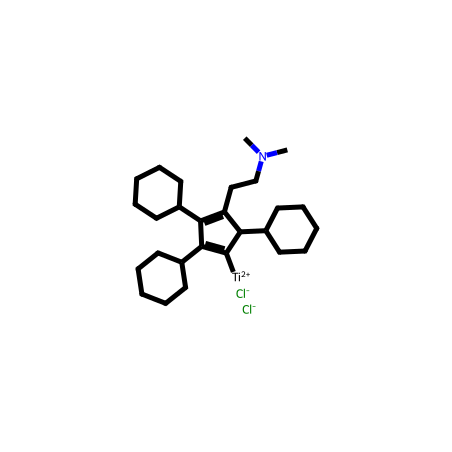 CN(C)CCC1=C(C2CCCCC2)C(C2CCCCC2)=[C]([Ti+2])C1C1CCCCC1.[Cl-].[Cl-]